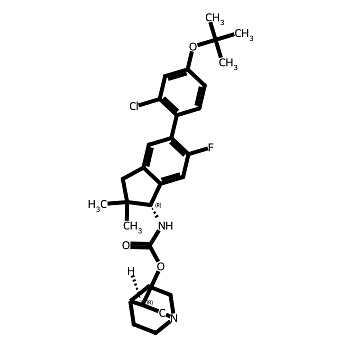 CC(C)(C)Oc1ccc(-c2cc3c(cc2F)[C@H](NC(=O)O[C@H]2CN4CCC2CC4)C(C)(C)C3)c(Cl)c1